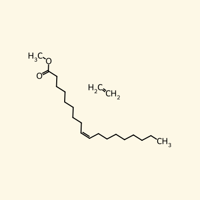 C=C.CCCCCCCC/C=C\CCCCCCCC(=O)OC